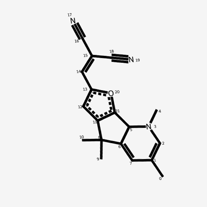 CC1=CN(C)C2C(=C1)C(C)(C)c1cc(C=C(C#N)C#N)oc12